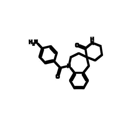 Nc1ccc(C(=O)N2CCC3(CCCNC3=O)Cc3ccccc32)cc1